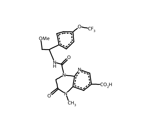 COCC(NC(=O)N1CC(=O)N(C)c2cc(C(=O)O)cnc21)c1ccc(OC(F)(F)F)cc1